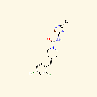 CCc1nsc(NC(=O)N2CCC(=Cc3ccc(Cl)cc3F)CC2)n1